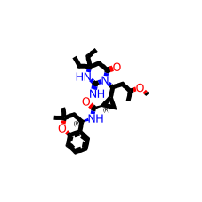 CCC1(CC)CC(=O)N(C(CC(C)OC)C2C[C@H]2C(=O)N[C@@H]2CC(C)(C)Oc3ccccc32)C(=N)N1